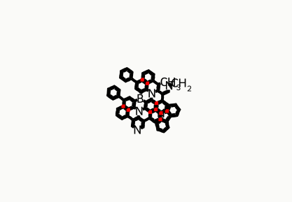 C=N/C=C(\C(=C(/C)c1ccccc1)N1c2ccc(-c3ccccc3)cc2B2c3cc(-c4ccccc4)ccc3N(c3c(-c4ccccc4)cncc3-c3ccccc3)c3cc(-n4c5ccccc5c5ccccc54)cc1c32)c1ccccc1